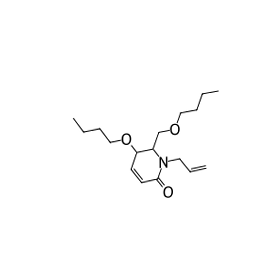 C=CCN1C(=O)C=CC(OCCCC)C1COCCCC